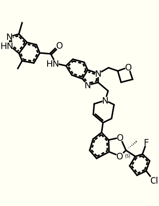 Cc1n[nH]c2c(C)cc(C(=O)Nc3ccc4c(c3)nc(CN3CC=C(c5cccc6c5O[C@@](C)(c5ccc(Cl)cc5F)O6)CC3)n4CC3CCO3)cc12